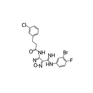 N=C(Nc1ccc(F)c(Br)c1)c1nonc1NC(=O)CCc1cccc(Cl)c1